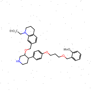 CCOC(=O)CN1CCCc2ccc(COC3CNCCC3c3ccc(OCCCOCc4ccccc4OC)cc3)cc21